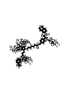 CC(C)(C)OC(=O)NCC(C(=O)Nc1ccc2cnccc2c1)c1ccc(COC(=O)CCCC=CC[C@@H]2[C@@H](C=C[C@H](COc3cccc(C(F)(F)F)c3)O[Si](C)(C)C(C)(C)C)[C@H](O[Si](C)(C)C(C)(C)C)C[C@@H]2O[Si](C)(C)C(C)(C)C)cc1